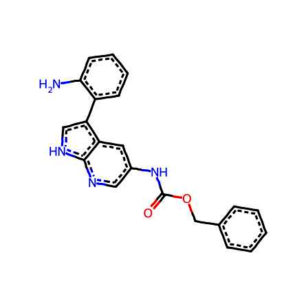 Nc1ccccc1-c1c[nH]c2ncc(NC(=O)OCc3ccccc3)cc12